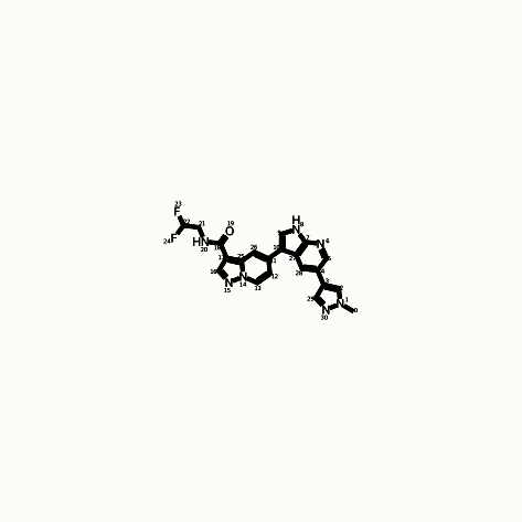 Cn1cc(-c2cnc3[nH]cc(-c4ccn5ncc(C(=O)NCC(F)F)c5c4)c3c2)cn1